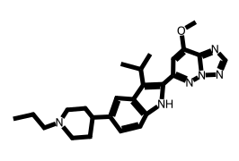 CCCN1CCC(c2ccc3[nH]c(-c4cc(OC)c5ncnn5n4)c(C(C)C)c3c2)CC1